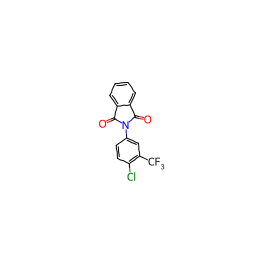 O=C1c2ccccc2C(=O)N1c1ccc(Cl)c(C(F)(F)F)c1